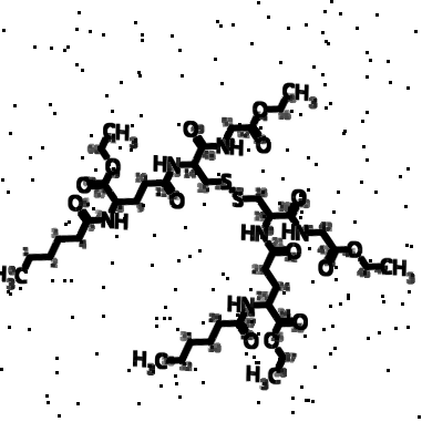 CCCCCC(=O)NC(CCC(=O)NC(CSSCC(NC(=O)CCC(NC(=O)CCCCC)C(=O)OCC)C(=O)NCC(=O)OCC)C(=O)NCC(=O)OCC)C(=O)OCC